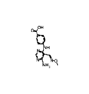 CON=Cc1c(N)ncnc1Nc1ccc(C(=O)O)cc1